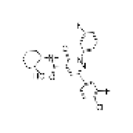 O=C(N[C@@H]1CCCC[C@@H]1O)c1cc(-c2ccc(Cl)c(F)c2)nn(-c2cccc(F)c2)c1=O